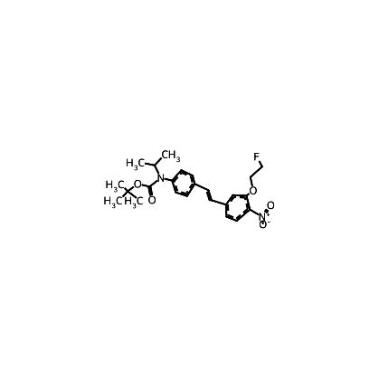 CC(C)N(C(=O)OC(C)(C)C)c1ccc(/C=C/c2ccc([N+](=O)[O-])c(OCCF)c2)cc1